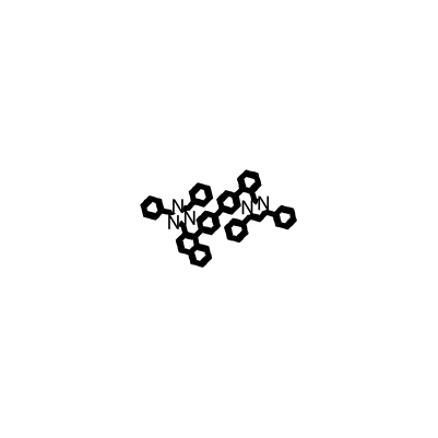 c1ccc(-c2cc(-c3ccccc3)nc(-c3ccccc3-c3ccc(-c4ccc(-c5c(-c6nc(-c7ccccc7)nc(-c7ccccc7)n6)ccc6ccccc56)cc4)cc3)n2)cc1